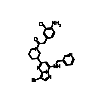 Nc1ccc(CC(=O)N2CCCC(c3cc(NCc4cccnc4)n4ncc(Br)c4n3)C2)cc1Cl